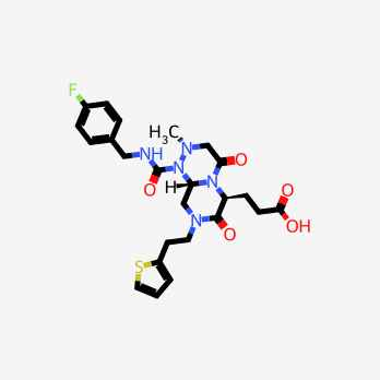 CN1CC(=O)N2[C@@H](CCC(=O)O)C(=O)N(CCc3cccs3)C[C@@H]2N1C(=O)NCc1ccc(F)cc1